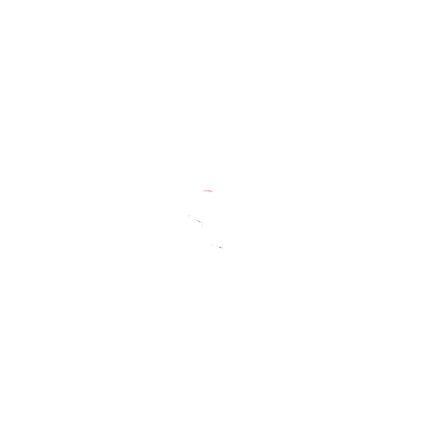 CCCCCC(=O)O[C@]1(C(=O)C(O)Cl)CC[C@H]2[C@@H]3CCC4=CC(=O)C=C[C@]4(C)[C@H]3C(O)C[C@@]21C